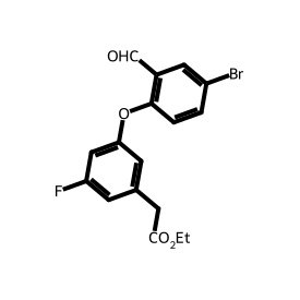 CCOC(=O)Cc1cc(F)cc(Oc2ccc(Br)cc2C=O)c1